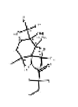 CCC(C)(C)C(=O)OC1(C(F)(F)F)C(F)(F)COC(O)(C(F)(F)F)C1(F)F